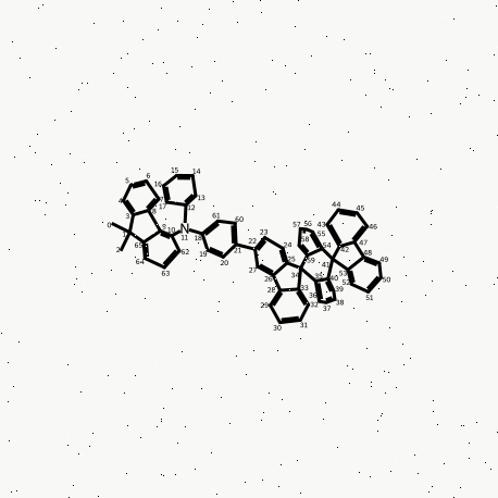 CC1(C)c2ccccc2-c2c(N(c3ccccc3)c3ccc(-c4ccc5c(c4)-c4ccccc4C54c5ccccc5C5(c6ccccc6-c6ccccc65)c5ccccc54)cc3)cccc21